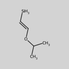 CC(C)OC=C[SiH3]